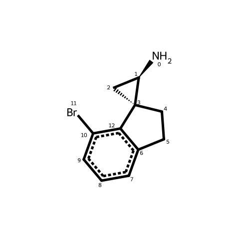 N[C@@H]1C[C@@]12CCc1cccc(Br)c12